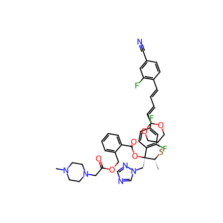 C[C@@H](S[C@H]1CO[C@H](C=CC=Cc2ccc(C#N)cc2F)OC1)[C@@](Cn1cncn1)(OC(=O)c1ccccc1COC(=O)CN1CCN(C)CC1)c1ccc(F)cc1F